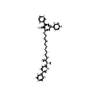 N=c1c(-c2ccccc2)cc(-c2ccccc2)nn1CCCCCCCCCCC(=O)Nc1ccc(-c2ccccc2)nn1